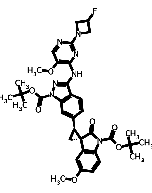 COc1ccc2c(c1)[C@]1(C[C@H]1c1ccc3c(Nc4nc(N5CC(F)C5)ncc4OC)nn(C(=O)OC(C)(C)C)c3c1)C(=O)N2C(=O)OC(C)(C)C